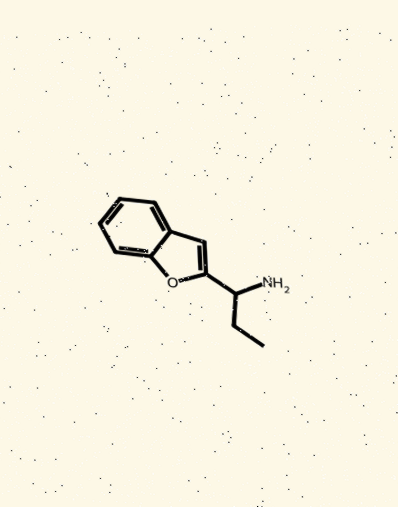 CCC(N)c1cc2ccccc2o1